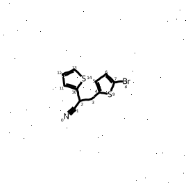 N#CC(Cc1ccc(Br)s1)c1cccs1